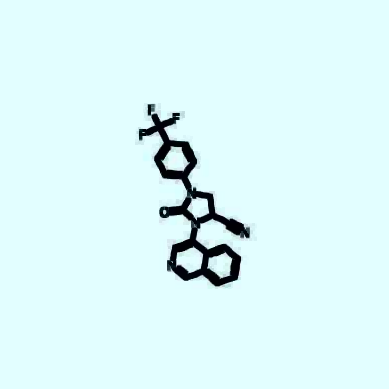 N#CC1CN(c2ccc(C(F)(F)F)cc2)C(=O)N1c1cncc2ccccc12